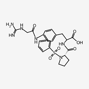 N=C(N)NCC(=O)Nc1ccc(CC(NC(=O)[C@@H]2CCCN2S(=O)(=O)c2ccccc2)C(=O)O)cc1